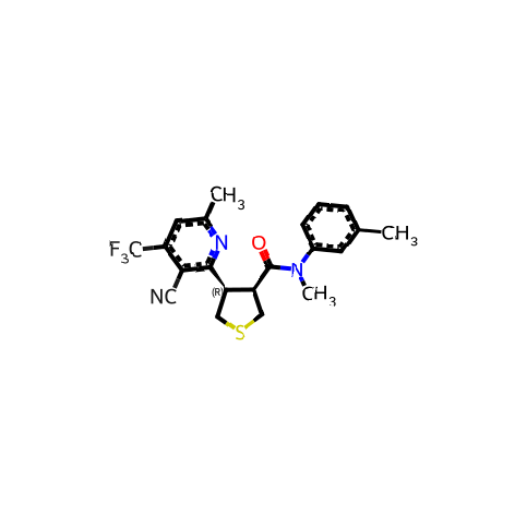 Cc1cccc(N(C)C(=O)C2CSC[C@H]2c2nc(C)cc(C(F)(F)F)c2C#N)c1